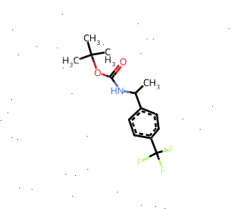 CC(NC(=O)OC(C)(C)C)c1ccc(C(F)(F)F)cc1